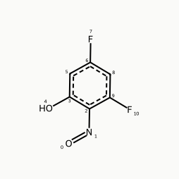 O=Nc1c(O)cc(F)cc1F